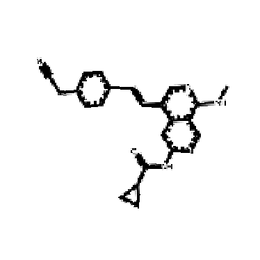 CNc1ncc(C=Cc2ccc(CC#N)cc2)c2cc(NC(=O)C3CC3)ncc12